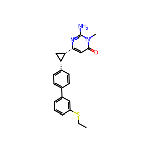 CCSc1cccc(-c2ccc([C@@H]3C[C@@H]3c3cc(=O)n(C)c(N)n3)cc2)c1